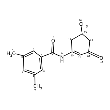 Cc1cc(C)cc(C(=O)NC2=CC(=O)CC(C)C2)c1